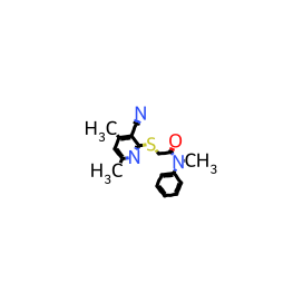 Cc1cc(C)c(C#N)c(SCC(=O)N(C)c2ccccc2)n1